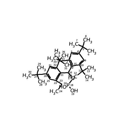 CCc1cc(C(C)(C)C)cc(C(C)(C)C)c1C(OP(O)O)c1c(CC)cc(C(C)(C)C)cc1C(C)(C)C